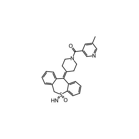 Cc1cncc(C(=O)N2CCC(=C3c4ccccc4CS(=N)(=O)c4ccccc43)CC2)c1